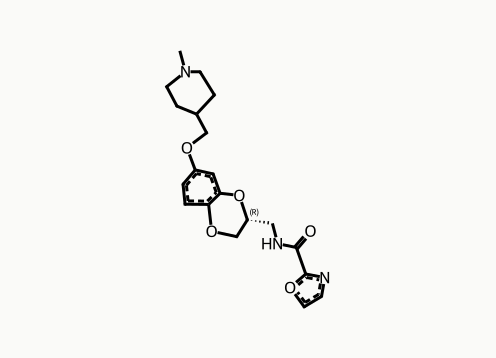 CN1CCC(COc2ccc3c(c2)O[C@H](CNC(=O)c2ncco2)CO3)CC1